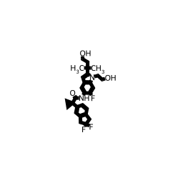 CC(C)(CCO)c1cc2cc(NC(=O)C3(c4ccc5c(c4)CC(F)(F)C5)CC3)c(F)cc2n1CCO